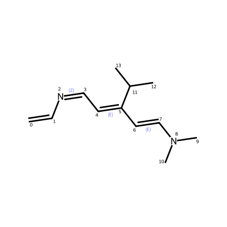 C=C\N=C/C=C(/C=C/N(C)C)C(C)C